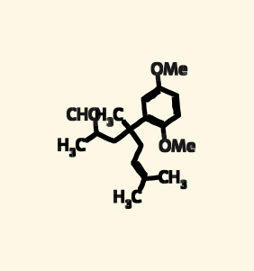 COc1ccc(OC)c(C(C)(CC=C(C)C)CC(C)C=O)c1